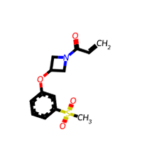 C=CC(=O)N1CC(Oc2cccc(S(C)(=O)=O)c2)C1